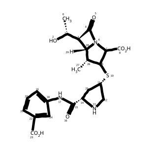 C[C@@H](O)[C@H]1C(=O)N2C(C(=O)O)C(S[C@@H]3CN[C@H](C(=O)Nc4cccc(C(=O)O)c4)C3)[C@H](C)[C@H]12